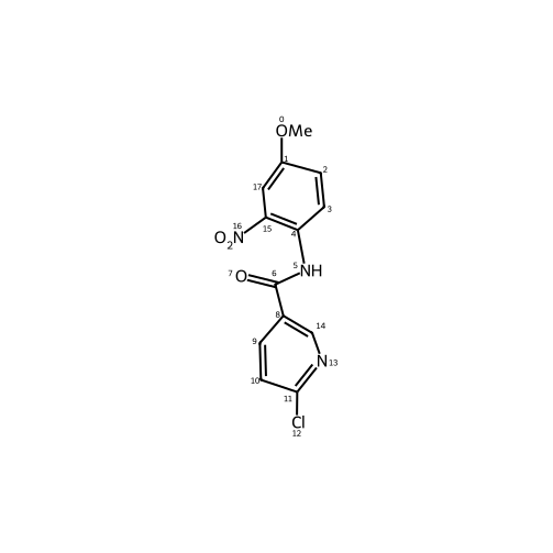 COc1ccc(NC(=O)c2ccc(Cl)nc2)c([N+](=O)[O-])c1